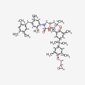 Cc1cc(C)c(Cc2cc(C)c(N3CC(CC(C)(C)Oc4c(C)cc(C(C)(C)c5cc(C)c(OCC6CO6)c(C)c5)cc4C)OC3=O)cc2C)cc1C